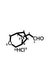 Cl.O=CCN1C2CCC1COC2